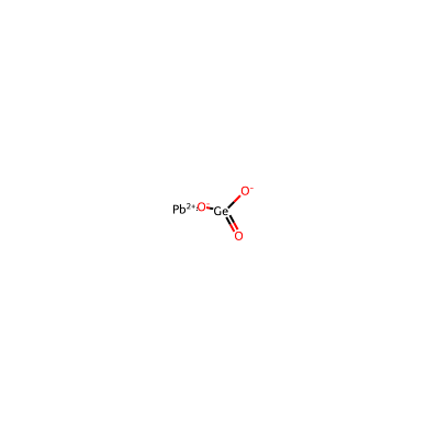 [O]=[Ge]([O-])[O-].[Pb+2]